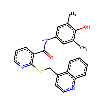 Cc1cc(NC(=O)c2cccnc2SCc2ccnc3ccccc23)cc(C)c1O